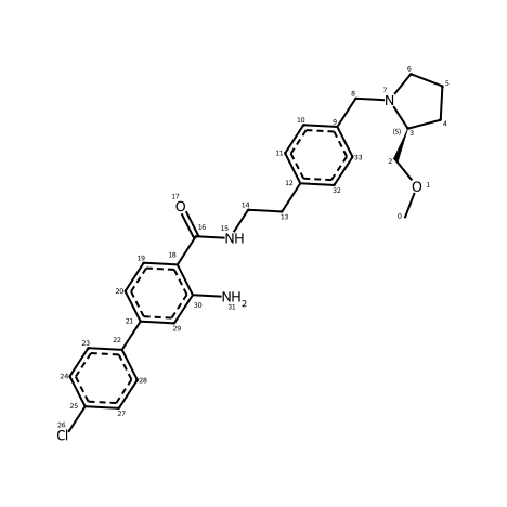 COC[C@@H]1CCCN1Cc1ccc(CCNC(=O)c2ccc(-c3ccc(Cl)cc3)cc2N)cc1